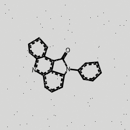 O=C1c2c3ccccc3nc3cccc(c23)N1c1ccccc1